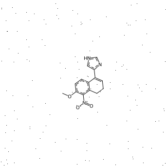 COc1ccc2c(c1[N+](=O)[O-])CCC=C2c1c[nH]cn1